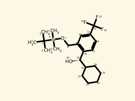 CC(C)(C)[Si](C)(C)OCc1cc(C(F)(F)F)ccc1[C@@H](O)C1CCCCC1